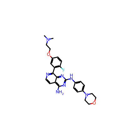 CN(C)CCOc1ccc(F)c(-c2nccc3c(N)nc(Nc4ccc(N5CCOCC5)cc4)nc23)c1